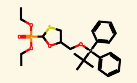 CCOP(=O)(OCC)C1OC(CO[Si](c2ccccc2)(c2ccccc2)C(C)(C)C)CS1